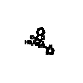 O=C(O)C(Cl)(c1ccccc1)C(Cl)(Cl)CNc1nccs1